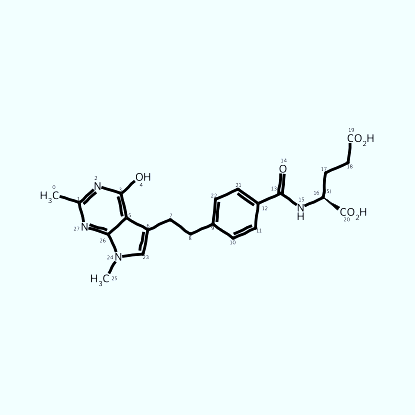 Cc1nc(O)c2c(CCc3ccc(C(=O)N[C@@H](CCC(=O)O)C(=O)O)cc3)cn(C)c2n1